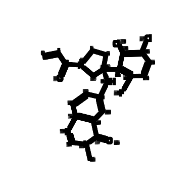 C=CC(=O)N1CC[C@](Nc2ccc3ncn(C)c(=O)c3c2)(c2c(F)ccc(Cl)c2Cl)C1